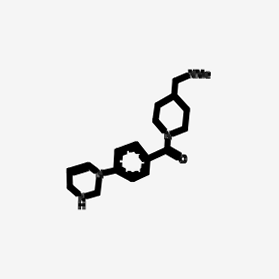 CNCC1CCN(C(=O)c2ccc(N3C=CCNC3)cc2)CC1